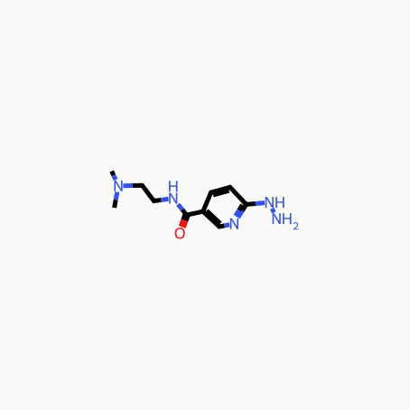 CN(C)CCNC(=O)c1ccc(NN)nc1